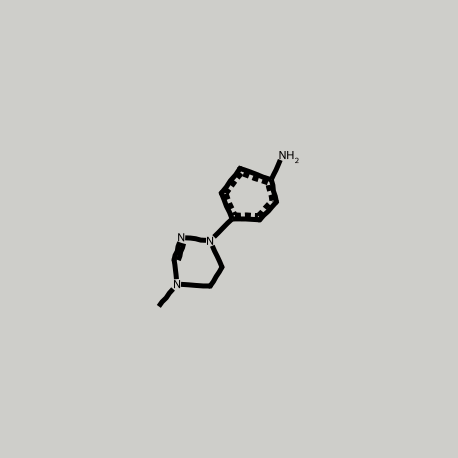 CN1C=NN(c2ccc(N)cc2)CC1